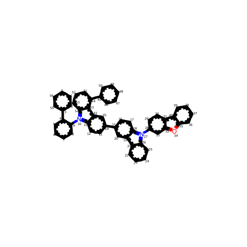 c1ccc(-c2ccccc2-n2c3ccc(-c4ccc5c(c4)c4ccccc4n5-c4ccc5c(c4)oc4ccccc45)cc3c3c(-c4ccccc4)cccc32)cc1